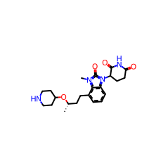 C[C@@H](CCc1cccc2c1n(C)c(=O)n2C1CCC(=O)NC1=O)OC1CCNCC1